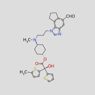 Cc1ccc([C@](O)(C(=O)O[C@H]2CC[C@H](N(C)CCCn3cnc4cc(C=O)c5c(c43)CCC5)CC2)c2cccs2)s1